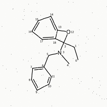 CCC1(N(C)Cc2ccccc2)Oc2ccccc21